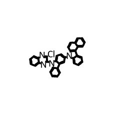 Clc1nc2ccccc2nc1-n1c2ccccc2c2cc(-n3c4ccccc4c4c5ccccc5ccc43)ccc21